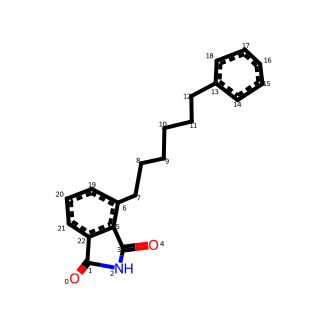 O=C1NC(=O)c2c(CCCCCCc3ccccc3)cccc21